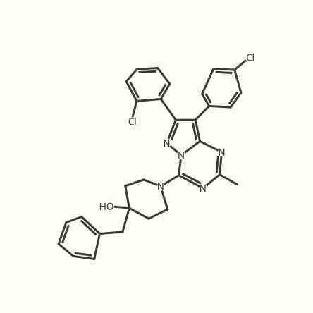 Cc1nc(N2CCC(O)(Cc3ccccc3)CC2)n2nc(-c3ccccc3Cl)c(-c3ccc(Cl)cc3)c2n1